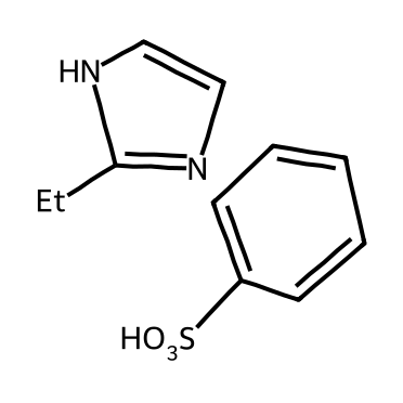 CCc1ncc[nH]1.O=S(=O)(O)c1ccccc1